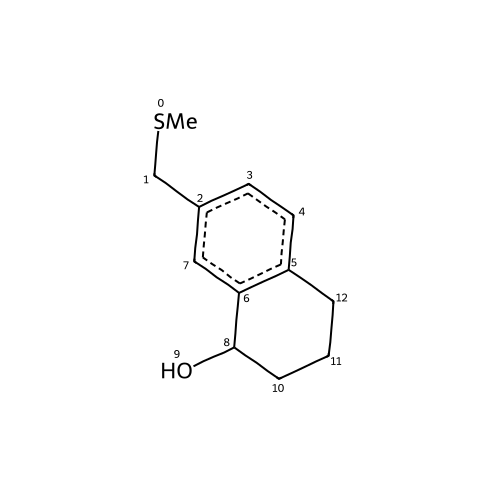 CSCc1ccc2c(c1)C(O)CCC2